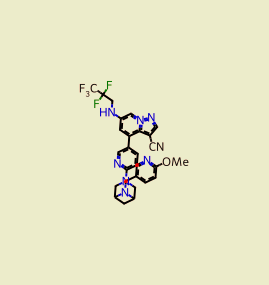 COc1ccc(CN2C3CC2CN(c2ccc(-c4cc(NCC(F)(F)C(F)(F)F)cn5ncc(C#N)c45)cn2)C3)cn1